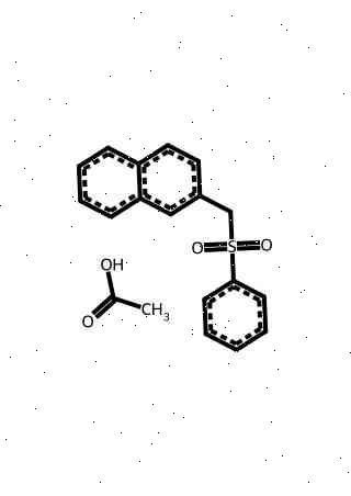 CC(=O)O.O=S(=O)(Cc1ccc2ccccc2c1)c1ccccc1